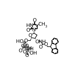 Cc1cn([C@H]2C[C@H](ONC(=O)OCC3c4ccccc4-c4ccccc43)[C@@H](COP(=O)(O)OP(=O)(O)OP(=O)(O)O)O2)c(=O)[nH]c1=O